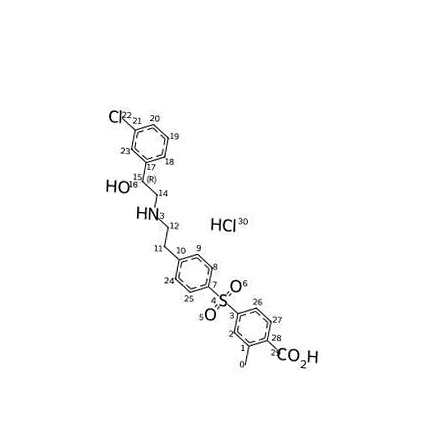 Cc1cc(S(=O)(=O)c2ccc(CCNC[C@H](O)c3cccc(Cl)c3)cc2)ccc1C(=O)O.Cl